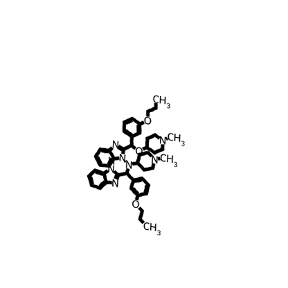 CCCOc1cccc(C(OC2CCN(C)CC2)c2nc3ccccc3n2N(C2CCN(C)CC2)C(c2cccc(OCCC)c2)c2nc3ccccc3[nH]2)c1